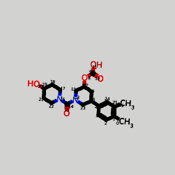 Cc1ccc(C2CC(OC(=O)O)CN(C(=O)N3CCC(O)CC3)C2)cc1C